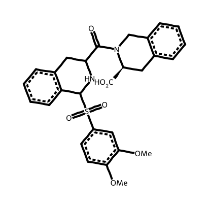 COc1ccc(S(=O)(=O)C2NC(C(=O)N3Cc4ccccc4C[C@H]3C(=O)O)Cc3ccccc32)cc1OC